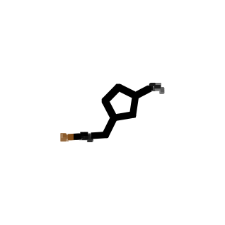 CC1CCC([CH2][Mg][Br])C1